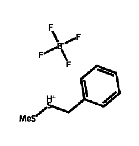 CS[SH+]Cc1ccccc1.F[B-](F)(F)F